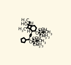 C=CC1(O)C(C)[C@H]2[C@H](C#C[C@@H](O[Si](C)(C)C(C)(C)C)C3CCCC3)[C@@H](O[Si](C)(C)C(C)(C)C)CC[C@H]21